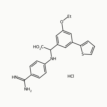 CCOc1cc(-c2cccs2)cc(C(Nc2ccc(C(=N)N)cc2)C(=O)O)c1.Cl